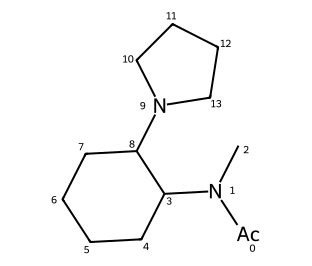 CC(=O)N(C)C1CCCCC1N1CCCC1